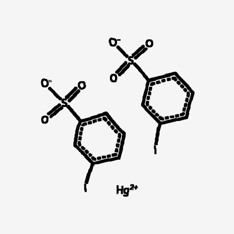 O=S(=O)([O-])c1cccc(I)c1.O=S(=O)([O-])c1cccc(I)c1.[Hg+2]